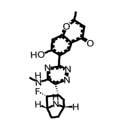 CNc1nc(-c2cc3c(=O)cc(C)oc3cc2O)nnc1[C@@H]1C[C@@H]2CC[C@@H](N2)[C@@H]1F